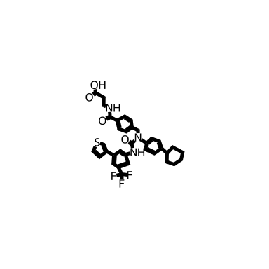 O=C(O)CCNC(=O)c1ccc(CN(C(=O)Nc2cc(-c3ccsc3)cc(C(F)(F)F)c2)c2ccc(C3CCCCC3)cc2)cc1